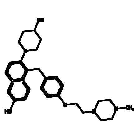 CN1CCN(CCOc2ccc(Cc3c(N4CCC(O)CC4)ccc4cc(O)ccc34)cc2)CC1